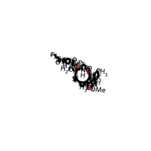 C=CC[C@]1(NC(=O)[C@H](C(C)C)N(C)C(=O)N2CCC3(CC2)CN(C(=O)/C=C/CF)C3)Cc2nc(cs2)-c2ccc3c(c2)c(c(-c2cc(N4CCN(C)CC4)cnc2[C@H](C)OC)n3CC)CC(C)(C)COC(=O)[C@@H]2CCCN(N2)C1=O